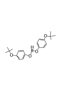 CC(C)(C)Oc1ccc(OBOc2ccc(OC(C)(C)C)cc2)cc1